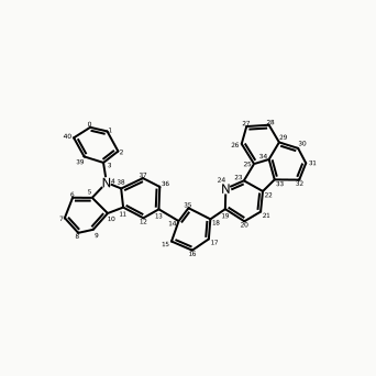 c1ccc(-n2c3ccccc3c3cc(-c4cccc(-c5ccc6c(n5)-c5cccc7cccc-6c57)c4)ccc32)cc1